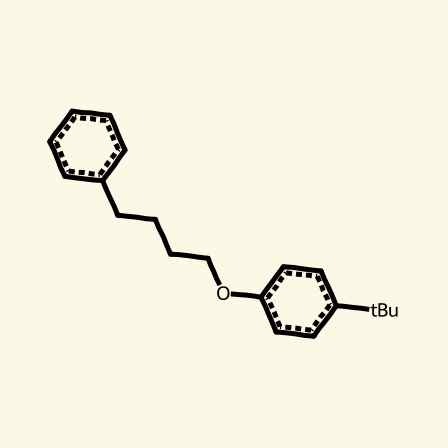 [CH2]C(C)(C)c1ccc(OCCCCc2ccccc2)cc1